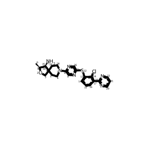 C[C@@H]1OCC2(CCN(c3cnc(Sc4cccc(-c5ncccn5)c4Cl)cn3)CC2)[C@@H]1N